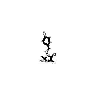 CC1(C#N)NC(Cl)=C(Cl)N1OCc1ccc(Cl)cc1